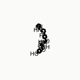 O=C(NC[C@H](NS(=O)(=O)c1ccc(O)cc1)C(=O)O)c1ccc(N2CCC[C@H](Nc3ncccn3)C2)c(F)c1